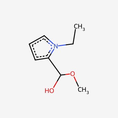 CCn1cccc1C(O)OC